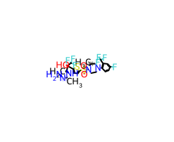 C=C(N/C(C)=N\N)C(O)(c1ccc(S(=O)(=O)N2CCN(c3ccc(F)cc3C(F)(F)F)C[C@H]2C)s1)C(F)(F)F